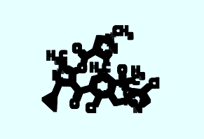 Cc1nn(C)cc1C(=O)Oc1c(C(=O)c2ccc(S(C)(=O)=O)c(Cn3cc(Cl)cn3)c2Cl)c(C2CC2)nn1C